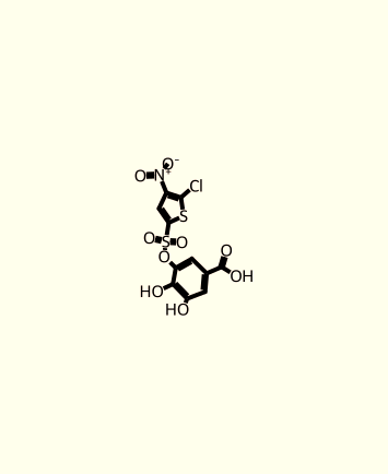 O=C(O)c1cc(O)c(O)c(OS(=O)(=O)c2cc([N+](=O)[O-])c(Cl)s2)c1